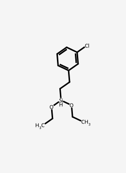 CCO[SiH](CCc1cccc(Cl)c1)OCC